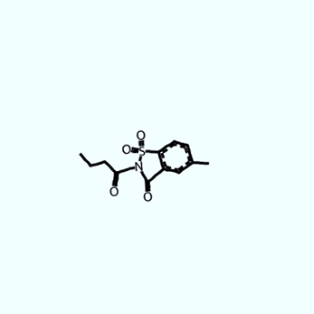 CCCC(=O)N1C(=O)c2cc(C)ccc2S1(=O)=O